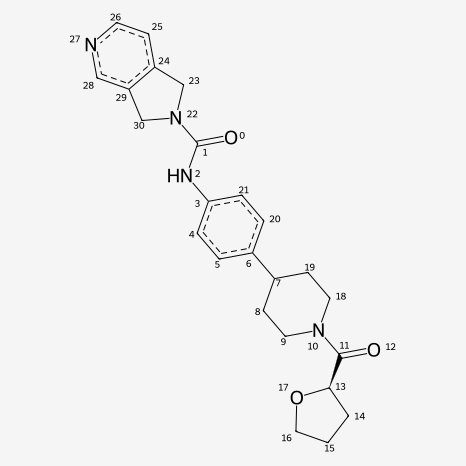 O=C(Nc1ccc(C2CCN(C(=O)[C@H]3CCCO3)CC2)cc1)N1Cc2ccncc2C1